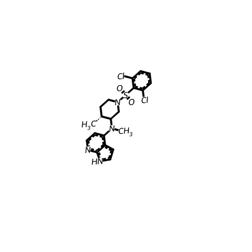 C[C@@H]1CCN(S(=O)(=O)c2c(Cl)cccc2Cl)CC1N(C)c1ccnc2[nH]ccc12